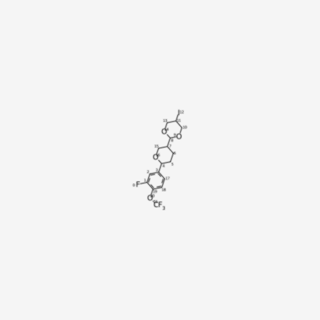 Fc1cc(C2CCC(C3OCC(I)CO3)CO2)ccc1OC(F)(F)F